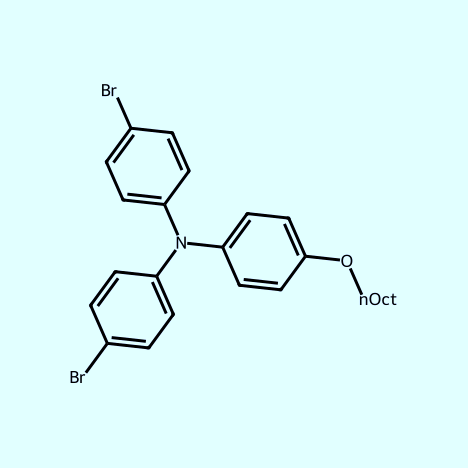 CCCCCCCCOc1ccc(N(c2ccc(Br)cc2)c2ccc(Br)cc2)cc1